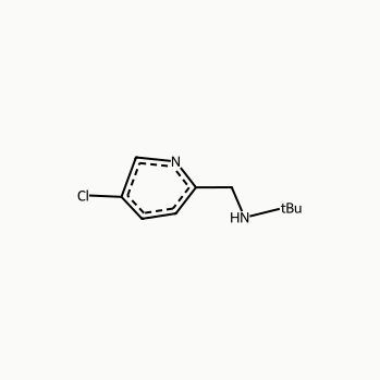 CC(C)(C)NCc1ccc(Cl)cn1